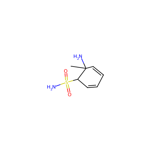 CC1(N)C=CC=CC1S(N)(=O)=O